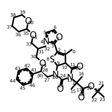 CC1=C(c2ncco2)SC2C1C(=O)N(C(C)(C)C(=O)OC(C)(C)C)C(=O)N2C[C@H](OCC(C)COC1CCCCO1)c1ccccc1